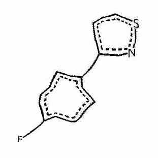 Fc1ccc(-c2ccsn2)cc1